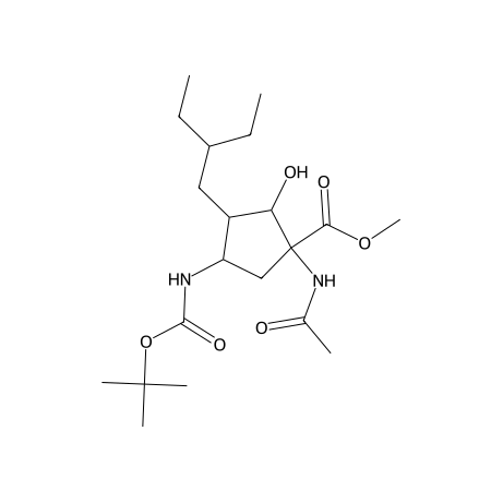 CCC(CC)CC1C(NC(=O)OC(C)(C)C)CC(NC(C)=O)(C(=O)OC)C1O